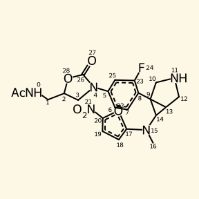 CC(=O)NCC1CN(c2ccc(C34CNCC3C4N(C)c3ccc([N+](=O)[O-])o3)c(F)c2)C(=O)O1